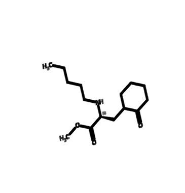 CCCCCN[C@@H](CC1CCCCC1=O)C(=O)OC